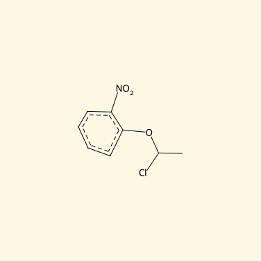 CC(Cl)Oc1ccccc1[N+](=O)[O-]